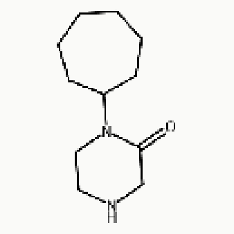 O=C1CNCCN1C1CCCCCC1